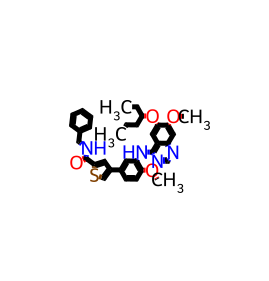 CCCC(CC)Oc1cc2c(Nc3cc(-c4csc(C(=O)NCc5ccccc5)c4)ccc3OC)ncnc2cc1OC